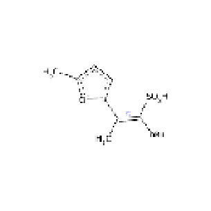 CCCC/C(=C(\C)c1ccc(C)o1)S(=O)(=O)O